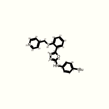 CC(C)(C)c1ccc(Nc2nnc(-c3ccccc3SCc3ccncc3)o2)cc1